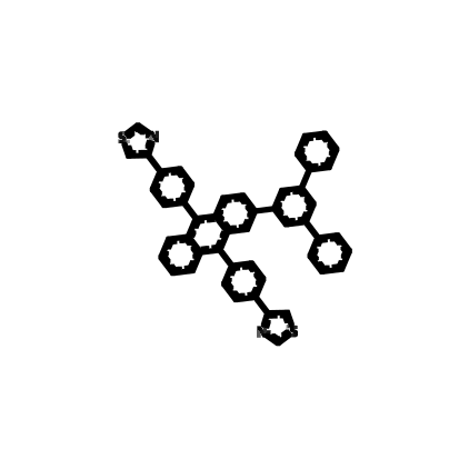 c1ccc(-c2cc(-c3ccccc3)cc(-c3ccc4c(-c5ccc(-c6cscn6)cc5)c5ccccc5c(-c5ccc(-c6cscn6)cc5)c4c3)c2)cc1